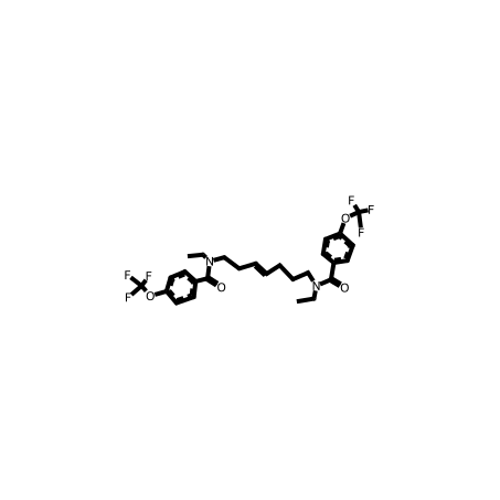 CCN(CCC=CCCCN(CC)C(=O)c1ccc(OC(F)(F)F)cc1)C(=O)c1ccc(OC(F)(F)F)cc1